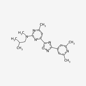 Cc1cc(-c2noc(-c3cc(C)nc(N(C)CC(C)C)n3)n2)cc(C)n1